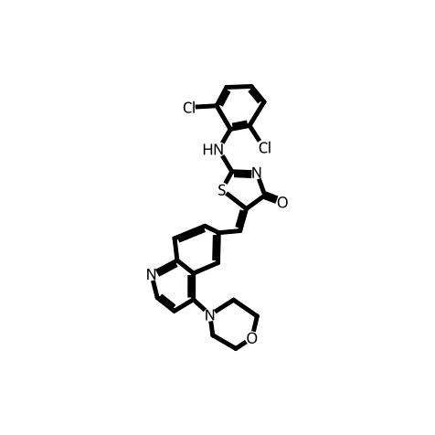 O=C1N=C(Nc2c(Cl)cccc2Cl)S/C1=C\c1ccc2nccc(N3CCOCC3)c2c1